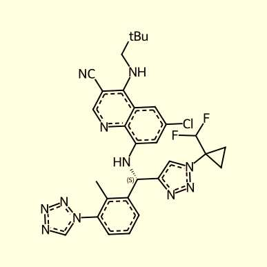 Cc1c([C@H](Nc2cc(Cl)cc3c(NCC(C)(C)C)c(C#N)cnc23)c2cn(C3(C(F)F)CC3)nn2)cccc1-n1cnnn1